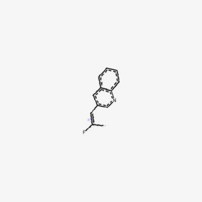 [CH2]/C(F)=C\c1cnc2ccccc2c1